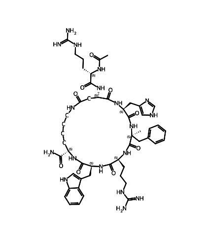 CC(=O)N[C@@H](CCCNC(=N)N)C(=O)N[C@H]1CC(=O)NCCCC[C@@H](C(N)=O)NC(=O)[C@H](Cc2c[nH]c3ccccc23)NC(=O)[C@H](CCCNC(=N)N)NC(=O)[C@](C)(Cc2ccccc2)NC(=O)[C@H](Cc2c[nH]cn2)NC1=O